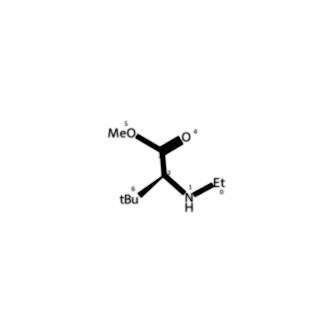 CCN[C@H](C(=O)OC)C(C)(C)C